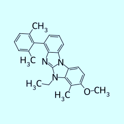 CCn1c2c(C)c(OC)ccc2n2c3cccc(-c4c(C)cccc4C)c3nc12